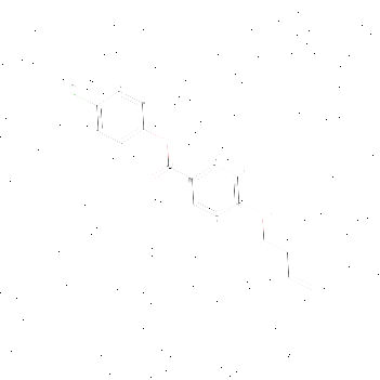 C=CCCOc1ccc(C(=O)Oc2ccc(Cl)cc2)cc1